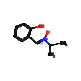 CC(C)/[N+]([O-])=C/c1ccccc1O